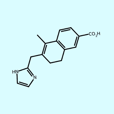 CC1=C(Cc2ncc[nH]2)CCc2cc(C(=O)O)ccc21